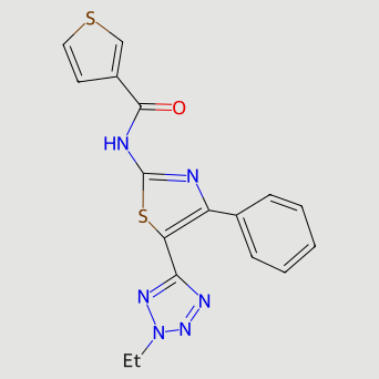 CCn1nnc(-c2sc(NC(=O)c3ccsc3)nc2-c2ccccc2)n1